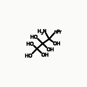 CCCC(N)(O)C(O)(O)C(O)(O)O